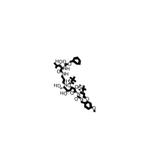 COc1ccc(Cn2c(=O)ccn([C@@H]3OC([C@@H](O)[C@H](CO)NCCCNC(=O)[C@H](NC(=O)OCc4ccccc4)[C@@H](O)C(C)C)[C@@H](O[Si](C)(C)C(C)(C)C)[C@H]3O[Si](C)(C)C(C)(C)C)c2=O)cc1